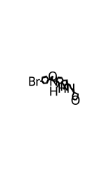 Cc1c(NC(=O)c2ccc(Br)cc2)ccc2cc(CNCC3CCOCC3)n(C)c12